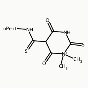 CCCCCNC(=S)C1C(=O)NC(=S)[N+](C)(C)C1=O